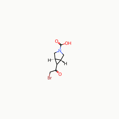 O=C(CBr)C1[C@H]2CN(C(=O)O)C[C@H]12